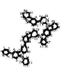 c1ccc(-c2ccc3c(c2)c2cc(-c4ccc5oc6ccc(-n7c8ccccc8c8cc9c%10ccccc%10n(-c%10nccc(-c%11ccc%12sc%13ccncc%13c%12c%11)n%10)c9cc87)cc6c5c4)ccc2n3-c2ccccc2)cc1